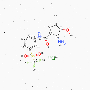 COC1CCC(C(=O)Nc2cccc(S(=O)(=O)C(F)(F)F)c2)C1N.Cl